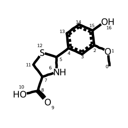 COc1cc(C2NC(C(=O)O)CS2)ccc1O